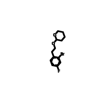 Fc1ccc(CCOC2CCCCO2)c(Br)c1